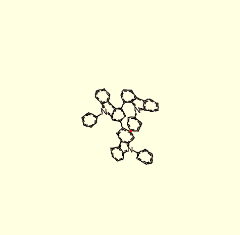 c1ccc(-n2c3ccccc3c3cc(-c4cc(-c5cccc6c7ccccc7n(-c7ccccc7)c56)c5c6ccccc6n(-c6ccccc6)c5c4)ccc32)cc1